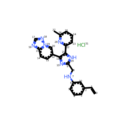 C=Cc1cccc(NCc2nc(-c3ccc4ncnn4c3)c(-c3cccc(C)n3)[nH]2)c1.Cl